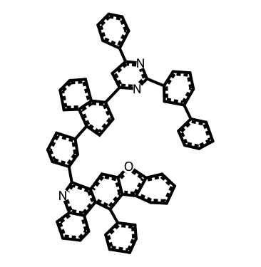 c1ccc(-c2cccc(-c3nc(-c4ccccc4)cc(-c4ccc(-c5cccc(-c6nc7ccccc7c7c(-c8ccccc8)c8c(cc67)oc6ccccc68)c5)c5ccccc45)n3)c2)cc1